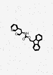 O=CC(Cc1cccnc1)NC(=O)OCC1c2ccccc2-c2ccccc21